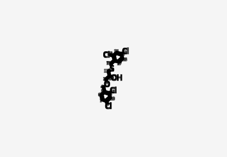 OC(COCc1ccc(Cl)cc1Cl)CSCc1ccc(Cl)cc1Cl